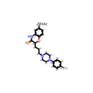 CC(=O)Nc1ccc2c(c1)NC(=O)C(CCCN1CCN(c3ccc(F)cc3)CC1)O2